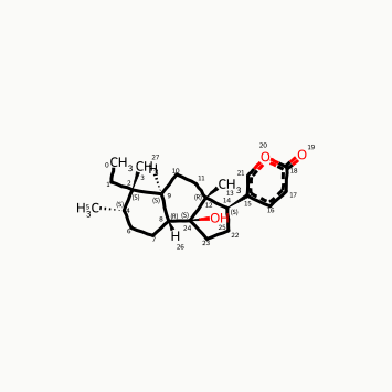 CC[C@@]1(C)[C@@H](C)CC[C@@H]2[C@@H]1CC[C@]1(C)[C@@H](c3ccc(=O)oc3)CC[C@]21O